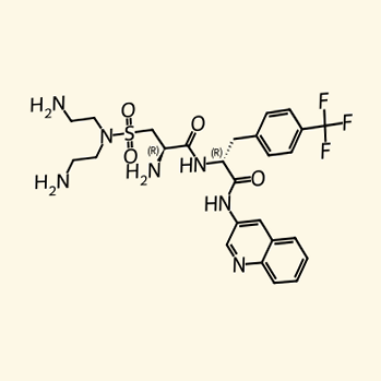 NCCN(CCN)S(=O)(=O)C[C@H](N)C(=O)N[C@H](Cc1ccc(C(F)(F)F)cc1)C(=O)Nc1cnc2ccccc2c1